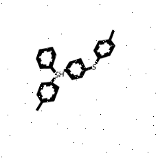 Cc1ccc(Sc2ccc([SH](c3ccccc3)c3ccc(C)cc3)cc2)cc1